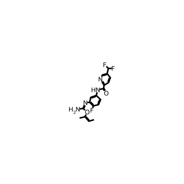 C/C=C(/C)O/C(N)=N\c1cc(NC(=O)c2ccc(C(F)F)cn2)ccc1F